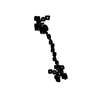 COC(=O)CC1N=C(c2ccc(Cl)cc2)c2c(sc(C(=O)NCCOCCOCCOCCOCCOCCOCCOCCNC(=O)c3sc4c(c3C)C(c3ccc(Cl)cc3)=NC(CC(=O)OC)c3nnc(C)n3-4)c2C)-n2c(C)nnc21